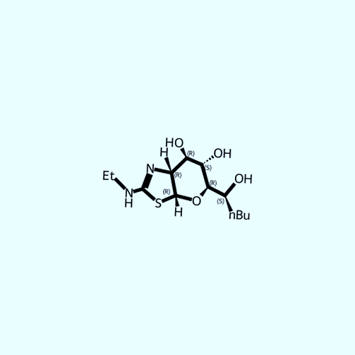 CCCC[C@H](O)[C@H]1O[C@@H]2SC(NCC)=N[C@@H]2[C@@H](O)[C@@H]1O